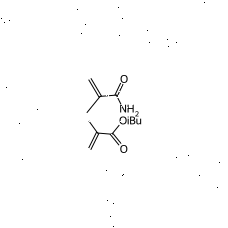 C=C(C)C(=O)OCC(C)C.C=C(C)C(N)=O